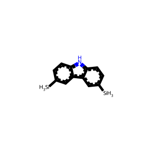 [SiH3]c1ccc2[nH]c3ccc([SiH3])cc3c2c1